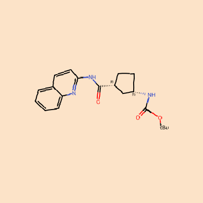 CC(C)(C)OC(=O)N[C@H]1CC[C@@H](C(=O)Nc2ccc3ccccc3n2)C1